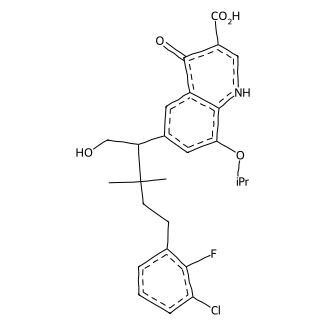 CC(C)Oc1cc(C(CO)C(C)(C)CCc2cccc(Cl)c2F)cc2c(=O)c(C(=O)O)c[nH]c12